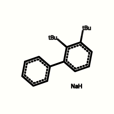 CC(C)(C)c1cccc(-c2ccccc2)c1C(C)(C)C.[NaH]